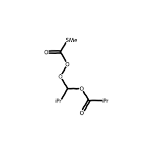 CSC(=O)OOC(OC(=O)C(C)C)C(C)C